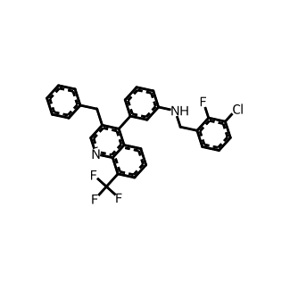 Fc1c(Cl)cccc1CNc1cccc(-c2c(Cc3ccccc3)cnc3c(C(F)(F)F)cccc23)c1